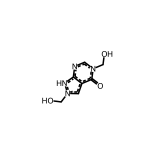 O=c1c2c[n+](CO)[nH]c2ncn1CO